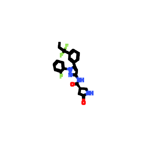 CCC(F)(F)c1cccc(-c2cc(NC(=O)[C@H]3CNC(=O)C3)nn2-c2ccccc2F)c1